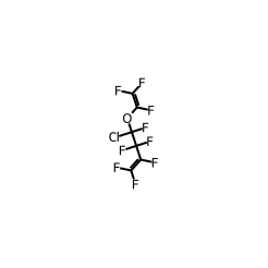 FC(F)=C(F)OC(F)(Cl)C(F)(F)C(F)=C(F)F